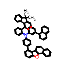 CC1(C)c2ccccc2-c2c(-c3ccccc3N(c3ccc(-c4cccc5oc6c7ccccc7ccc6c45)cc3)c3cccc(-c4cccc5ccccc45)c3)cccc21